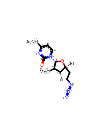 CC[C@@]1(CCN=[N+]=[N-])O[C@@H](n2ccc(NC(C)=O)nc2=O)C(OC)[C@H]1C